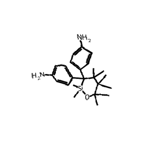 CC1(C)O[Si](C)(C)C(c2ccc(N)cc2)(c2ccc(N)cc2)C(C)(C)C1(C)C